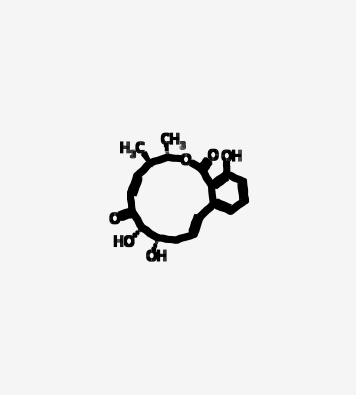 C[C@@H]1/C=C\C(=O)[C@@H](O)[C@@H](O)C/C=C/c2cccc(O)c2C(=O)O[C@H]1C